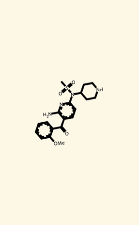 COc1ccccc1C(=O)c1ccc(N(C2CCNCC2)S(C)(=O)=O)nc1N